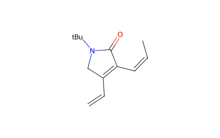 C=CC1=C(/C=C\C)C(=O)N(C(C)(C)C)C1